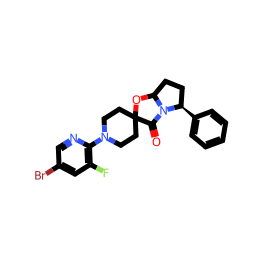 O=C1N2C(CC[C@H]2c2ccccc2)OC12CCN(c1ncc(Br)cc1F)CC2